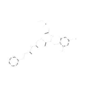 CCC(C)(C)OC(=O)N[C@@H](Cc1c(C)cc(O)cc1C)C(=O)N[C@@H](C)C(=O)NC(=O)CCc1ccccc1